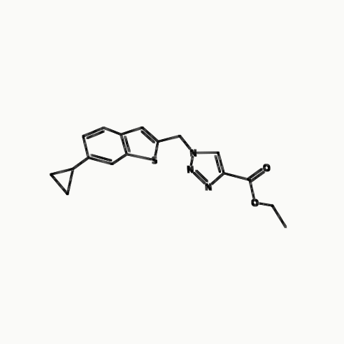 CCOC(=O)c1cn(Cc2cc3ccc(C4CC4)cc3s2)nn1